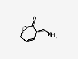 NC=C1C=CCOC1=O